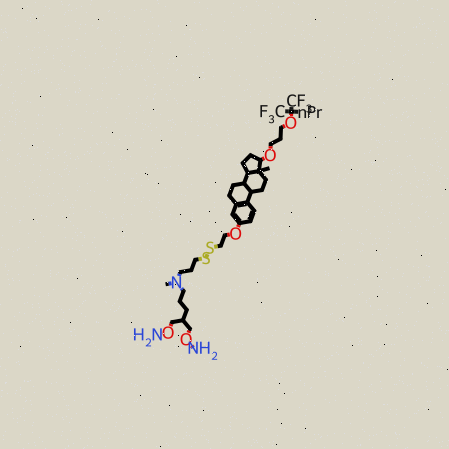 CCCC(OCCCOC1CCC2C3CCc4cc(OCCSSCCCN(C)CCCC(CON)CON)ccc4C3CCC12C)(C(F)(F)F)C(F)(F)F